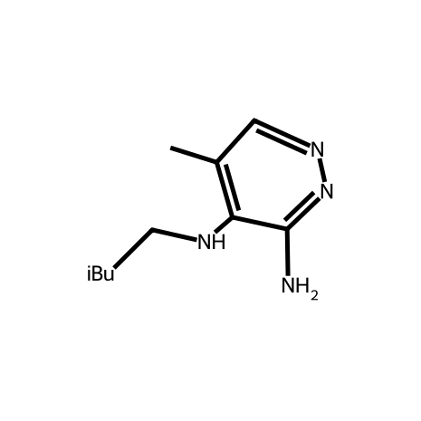 CCC(C)CNc1c(C)cnnc1N